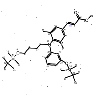 COC(=O)/C=C/c1cc(C)c(N(CCCCO[Si](C)(C)C(C)(C)C)c2cccc(O[Si](C)(C)C(C)(C)C)c2)c(C)c1